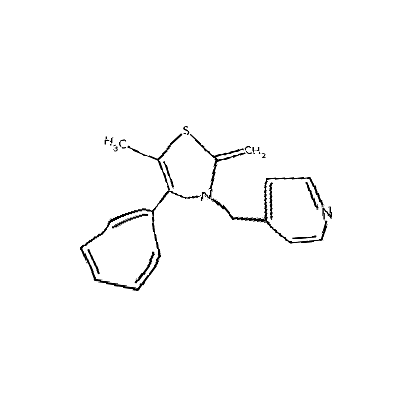 C=C1SC(C)=C(c2ccccc2)N1Cc1ccncc1